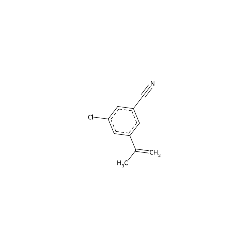 C=C(C)c1cc(Cl)cc(C#N)c1